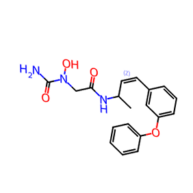 CC(/C=C\c1cccc(Oc2ccccc2)c1)NC(=O)CN(O)C(N)=O